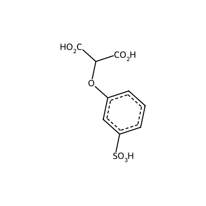 O=C(O)C(Oc1cccc(S(=O)(=O)O)c1)C(=O)O